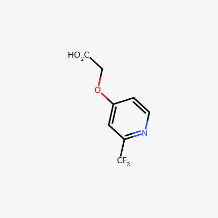 O=C(O)COc1ccnc(C(F)(F)F)c1